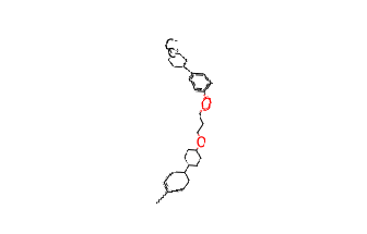 [CH2-][C+]1CCC(c2ccc(OCCCOC3CCC(C4CCC(C)CC4)CC3)cc2)CC1